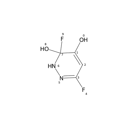 OC1=CC(F)=NNC1(O)F